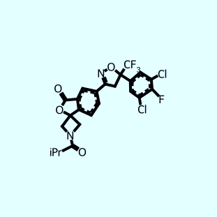 CC(C)C(=O)N1CC2(C1)OC(=O)c1cc(C3=NOC(c4cc(Cl)c(F)c(Cl)c4)(C(F)(F)F)C3)ccc12